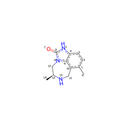 Cc1ccc2[nH]c(=O)n3c2c1CN[C@@H](C)C3